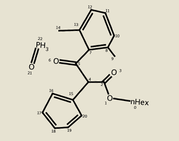 CCCCCCOC(=O)C(C(=O)c1c(C)cccc1C)c1ccccc1.O=[PH3]